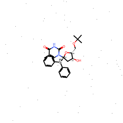 Cc1cn([C@@]2([SiH](c3ccccc3)c3ccccc3)C[C@H](O)[C@@H](COC(C)(C)C)O2)c(=O)[nH]c1=O